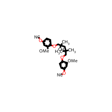 COc1cc(OC#N)ccc1OCC(C)(C)CC(C)(C)COc1ccc(OC#N)cc1OC